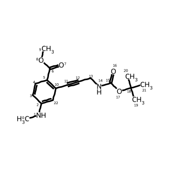 CNc1ccc(C(=O)OC)c(C#CCNC(=O)OC(C)(C)C)c1